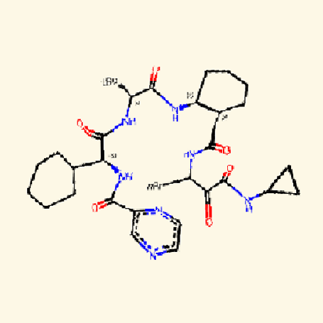 CCCC(NC(=O)[C@@H]1CCCC[C@@H]1NC(=O)[C@@H](NC(=O)[C@@H](NC(=O)c1cnccn1)C1CCCCC1)C(C)(C)C)C(=O)C(=O)NC1CC1